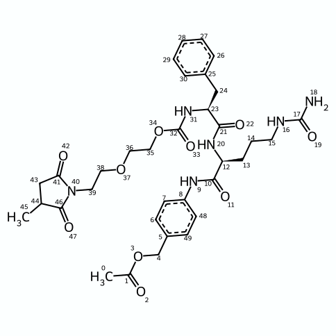 CC(=O)OCc1ccc(NC(=O)[C@H](CCCNC(N)=O)NC(=O)[C@H](Cc2ccccc2)NC(=O)OCCOCCN2C(=O)CC(C)C2=O)cc1